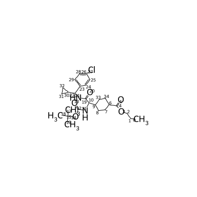 CCCOC(=O)C1CCC(C(NC(=O)OC(C)(C)C)C(=O)NC(c2ccc(Cl)cc2)C2CC2)CC1